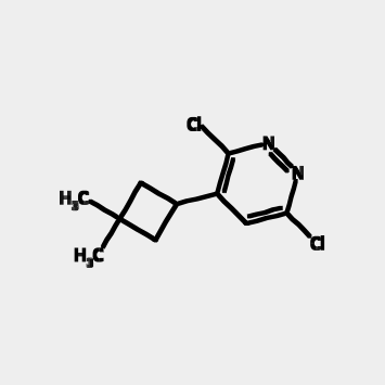 CC1(C)CC(c2cc(Cl)nnc2Cl)C1